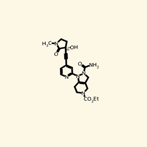 CCOC(=O)N1CCC2=C(C1)CN(C(N)=O)N2c1cc(C#C[C@]2(O)CCN(C)C2=O)ccn1